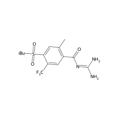 CCC(C)S(=O)(=O)c1cc(C)c(C(=O)N=C(N)N)cc1C(F)(F)F